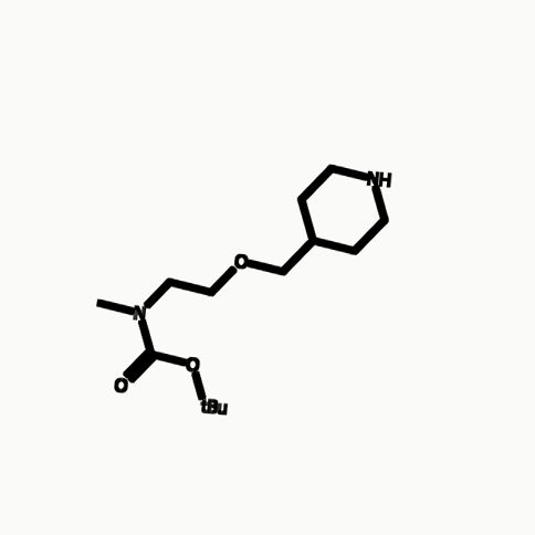 CN(CCOCC1CCNCC1)C(=O)OC(C)(C)C